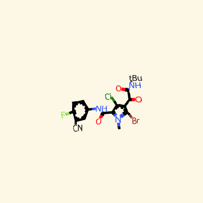 Cn1c(Br)c(C(=O)C(=O)NC(C)(C)C)c(Cl)c1C(=O)Nc1ccc(F)c(C#N)c1